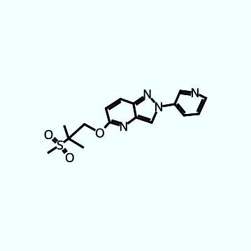 CC(C)(COc1ccc2nn(-c3cccnc3)cc2n1)S(C)(=O)=O